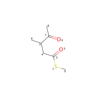 CSC(=O)CC(C)C(C)=O